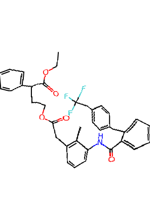 CCOC(=O)C(CCOC(=O)Cc1cccc(NC(=O)c2ccccc2-c2ccc(C(F)(F)F)cc2)c1C)c1ccccc1